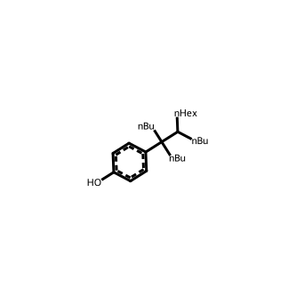 CCCCCCC(CCCC)C(CCCC)(CCCC)c1ccc(O)cc1